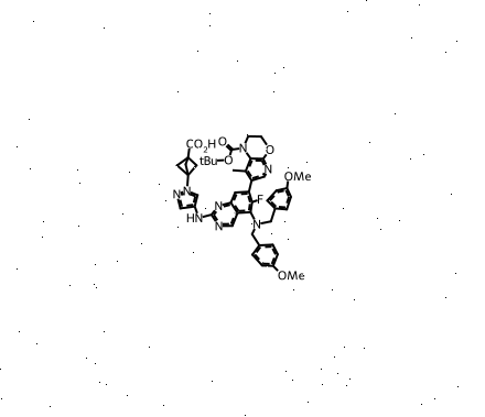 COc1ccc(CN(Cc2ccc(OC)cc2)c2c(F)c(-c3cnc4c(c3C)N(C(=O)OC(C)(C)C)CCO4)cc3nc(Nc4cnn(C56CC(C(=O)O)(C5)C6)c4)ncc23)cc1